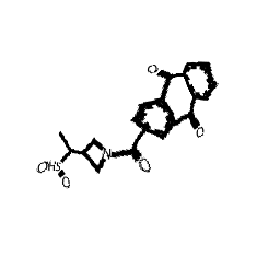 CC(C1CN(C(=O)c2ccc3c(c2)C(=O)c2ccccc2C3=O)C1)[SH](=O)=O